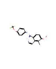 COc1ccc2c(Nc3ccc(OC(F)(F)F)cc3)nccc2c1C